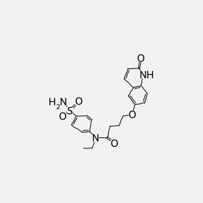 CCN(C(=O)CCCOc1ccc2[nH]c(=O)ccc2c1)c1ccc(S(N)(=O)=O)cc1